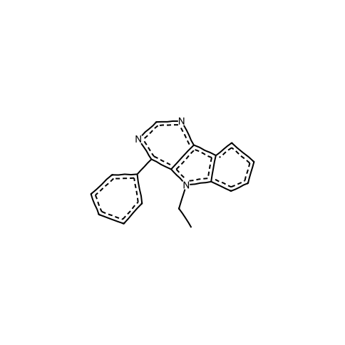 CCn1c2ccccc2c2ncnc(-c3ccccc3)c21